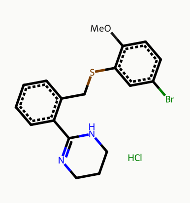 COc1ccc(Br)cc1SCc1ccccc1C1=NCCCN1.Cl